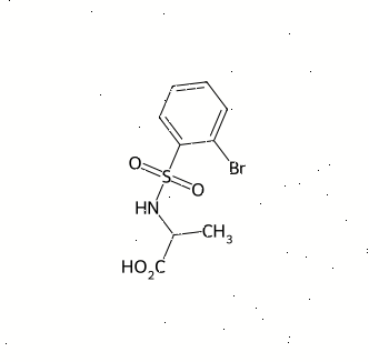 CC(NS(=O)(=O)c1ccccc1Br)C(=O)O